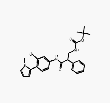 Cn1cccc1-c1ccc(NC(=O)C(CNC(=O)OC(C)(C)C)c2ccccc2)cc1Cl